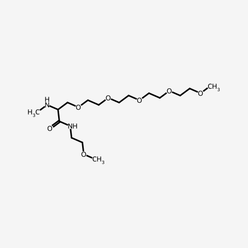 CNC(COCCOCCOCCOCCOC)C(=O)NCCOC